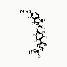 COc1ccc2[nH]c(C(=O)Nc3ccc(/C(C)=N/NC(C)=N)cc3)cc2c1